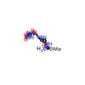 CO[C@@H]1C[C@@H](C(=O)Nc2cc(F)c3c(c2)CC(CNCCC2CN(c4cnc5c(n4)NC(=O)CO5)C(=O)O2)C3)N(C)C1